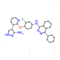 Nc1n[nH]cc1-c1cccnc1Oc1ccc(Nc2nnc(-c3ccccc3)c3ccccc23)cc1F